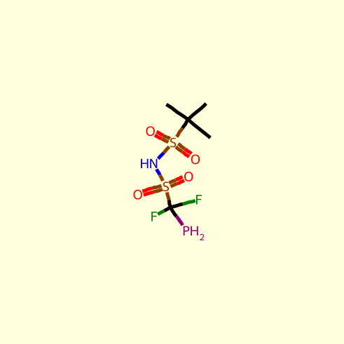 CC(C)(C)S(=O)(=O)NS(=O)(=O)C(F)(F)P